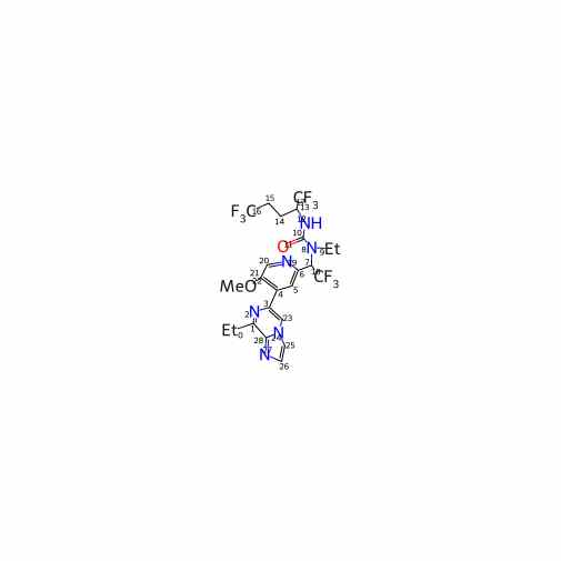 CCc1nc(-c2cc(C(N(CC)C(=O)NC(CCC(F)(F)F)C(F)(F)F)C(F)(F)F)ncc2OC)cn2ccnc12